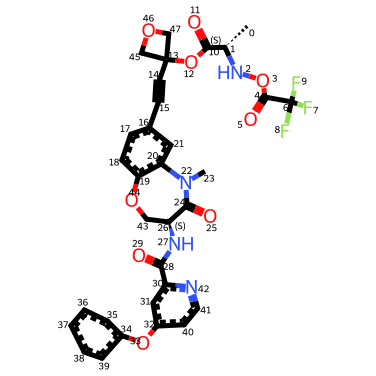 C[C@H](NOC(=O)C(F)(F)F)C(=O)OC1(C#Cc2ccc3c(c2)N(C)C(=O)[C@@H](NC(=O)c2cc(Oc4ccccc4)ccn2)CO3)COC1